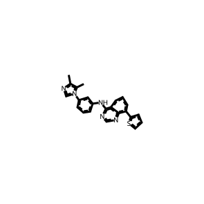 Cc1ncn(-c2cccc(Nc3ncnc4c(-c5cccs5)cccc34)c2)c1C